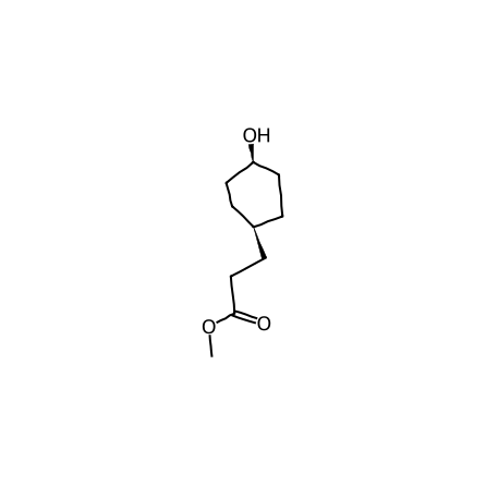 COC(=O)CC[C@H]1CC[C@@H](O)CC1